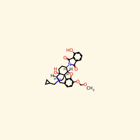 COCOc1ccc2c3c1O[C@H]1[C@H](N4C(=O)c5cccc(O)c5C4=O)CCC4(O)[C@@H](C2)N(CC2CC2)CC[C@]314